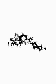 O=C(NC1CC2(CNC2)C1)[C@@H]1CC[C@@H]2CN1C(=O)N2OS(=O)(=O)O